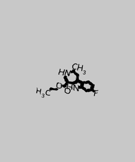 CCCOC(=O)C1=CNC(C)Cc2c1[nH]c1cc(F)ccc21